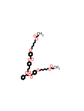 C=CC(=O)OCCCCCCOc1ccc(C(=O)OCC(OC(=O)C=Cc2ccc(OC(=O)c3ccc(OCCCCCCOC(=O)C=C)cc3)cc2)c2ccccc2)cc1